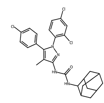 Cc1c(NC(=O)NC2C3CC4CC(C3)CC2C4)nn(-c2ccc(Cl)cc2Cl)c1-c1ccc(Cl)cc1